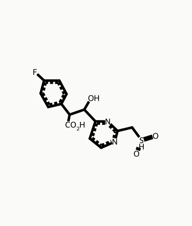 O=C(O)C(c1ccc(F)cc1)C(O)c1ccnc(C[SH](=O)=O)n1